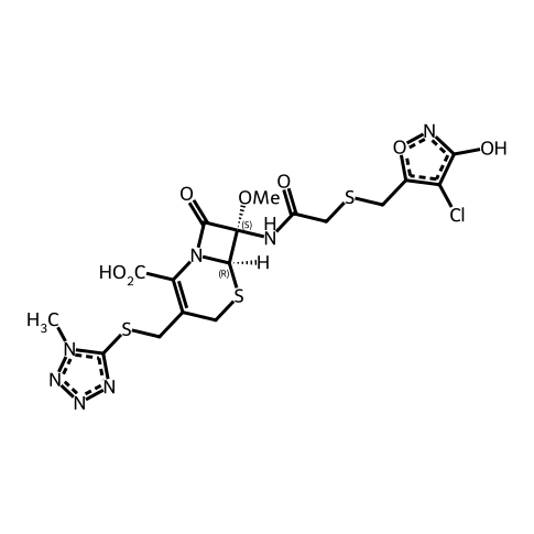 CO[C@@]1(NC(=O)CSCc2onc(O)c2Cl)C(=O)N2C(C(=O)O)=C(CSc3nnnn3C)CS[C@@H]21